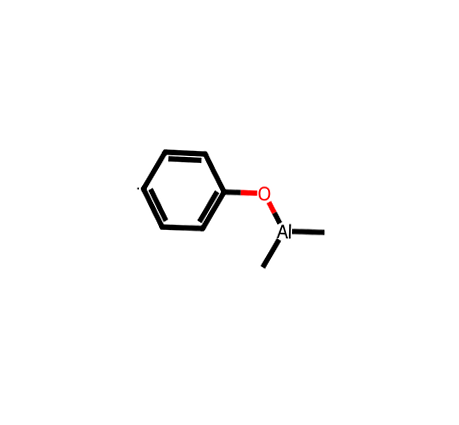 [CH3][Al]([CH3])[O]c1cc[c]cc1